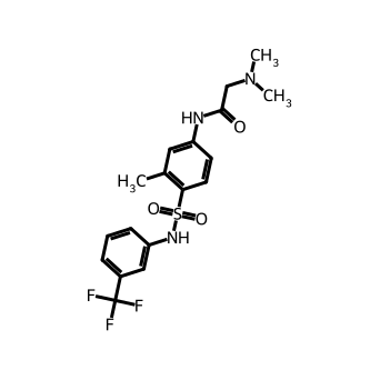 Cc1cc(NC(=O)CN(C)C)ccc1S(=O)(=O)Nc1cccc(C(F)(F)F)c1